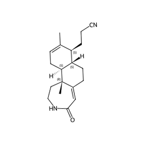 CC1=CC[C@H]2[C@@H](CCC3=CC(=O)NCC[C@@]32C)[C@@H]1CCC#N